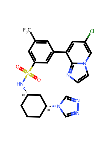 O=S(=O)(N[C@H]1CCC[C@@H](n2cnnc2)C1)c1cc(-c2cc(Cl)cn3ccnc23)cc(C(F)(F)F)c1